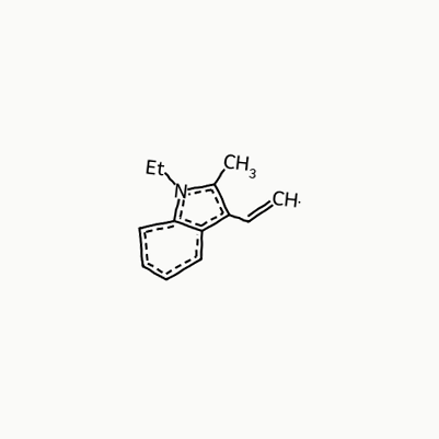 [CH]=Cc1c(C)n(CC)c2ccccc12